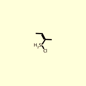 CC=C(C)[SiH2]Cl